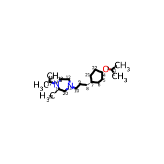 CC(C)O[C@H]1CC[C@H](CCCN2CCN(C(C)C)[C@H](C)C2)CC1